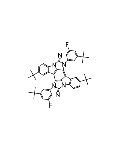 CC(C)(C)c1ccc2c(c1)c1c3c4c(c5cc(C(C)(C)C)ccc5n4c4nc5c(F)cc(C(C)(C)C)cc5n34)c3c1n2c1nc2c(F)cc(C(C)(C)C)cc2n31